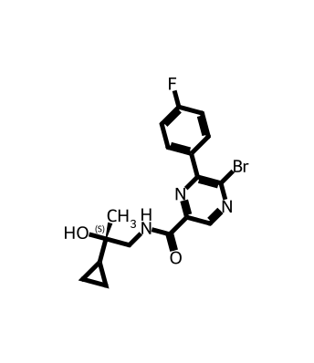 C[C@@](O)(CNC(=O)c1cnc(Br)c(-c2ccc(F)cc2)n1)C1CC1